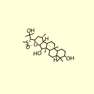 C[C@@H]1CC([C@H]([S+](C)[O-])C(C)(C)O)OC2[C@H]1[C@@]1(C)CC[C@@]34C[C@@]35CCC(O)C(C)(C)[C@@H]5CCC4[C@]1(C)[C@H]2O